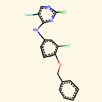 Fc1cnc(Cl)nc1Nc1ccc(OCc2ccccc2)c(Cl)c1